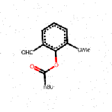 CCC[CH]C(=O)Oc1c(C=O)cccc1OC